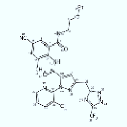 CCOCCNC(=O)c1cc(C#N)cc(C)c1NC(=O)c1cc(Cn2nnc(C(F)(F)F)n2)nn1-c1ncccc1Cl